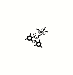 CCO[Si](CCCP(C(=O)c1c(C)cc(C)cc1C)C(=O)c1c(C)cc(C)cc1C)(OCC)OCC